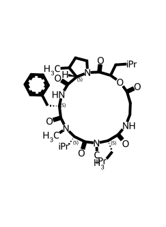 CC(C)CC1OC(=O)CCNC(=O)[C@H](CC(C)C)N(C)C(=O)[C@H](C(C)C)N(C)C(=O)[C@H](Cc2ccccc2)NC(=O)[C@@H]2C(C)CCN2C1=O